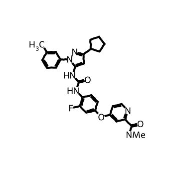 CNC(=O)c1cc(Oc2ccc(NC(=O)Nc3cc(C4CCCC4)nn3-c3cccc(C)c3)c(F)c2)ccn1